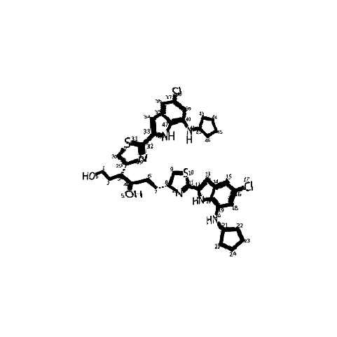 OCCC(C(O)CC[C@@H]1CSC(c2cc3cc(Cl)cc(NC4CCCC4)c3[nH]2)=N1)[C@@H]1CSC(c2cc3cc(Cl)cc(NC4CCCC4)c3[nH]2)=N1